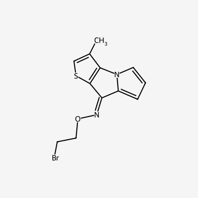 Cc1csc2c1-n1cccc1/C2=N/OCCBr